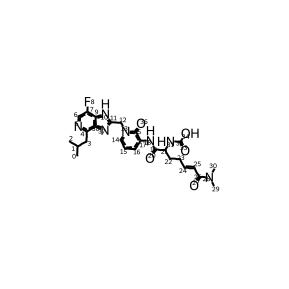 CC(C)Cc1ncc(F)c2[nH]c(Cn3cccc(NC(=O)C(CCC=CC(=O)N(C)C)NC(=O)O)c3=O)nc12